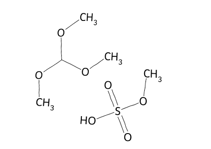 COC(OC)OC.COS(=O)(=O)O